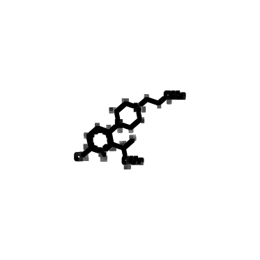 COCCN1CCN(c2ccc(Cl)nc2C(C)OC)CC1